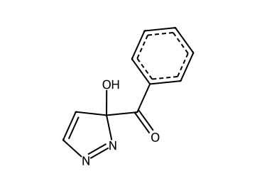 O=C(c1ccccc1)C1(O)C=CN=N1